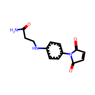 NC(=O)CCNc1ccc(N2C(=O)C=CC2=O)cc1